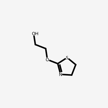 OCCOC1=NCCS1